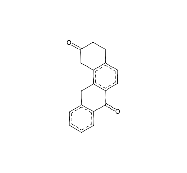 O=C1CCc2ccc3c(c2C1)Cc1ccccc1C3=O